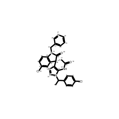 CC(c1ccc(Cl)cc1)n1nnc2c1NC(=O)C[C@]21C(=O)N(Cc2cccnc2)c2ccc(Cl)cc21